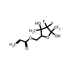 C=CC(=O)OCC1OC(O)(C(F)(F)F)C(F)(F)C1(C)O